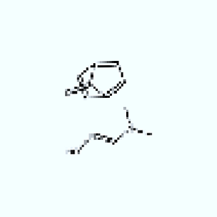 CN(C)C=NO.O=C1C2=CC=C1C=C2